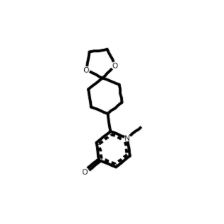 Cn1ccc(=O)cc1C1CCC2(CC1)OCCO2